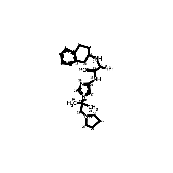 CCCC(NC1CCc2ccccc2C1)C(=O)Nc1cn(C(C)(C)CN2CCCC2)cn1